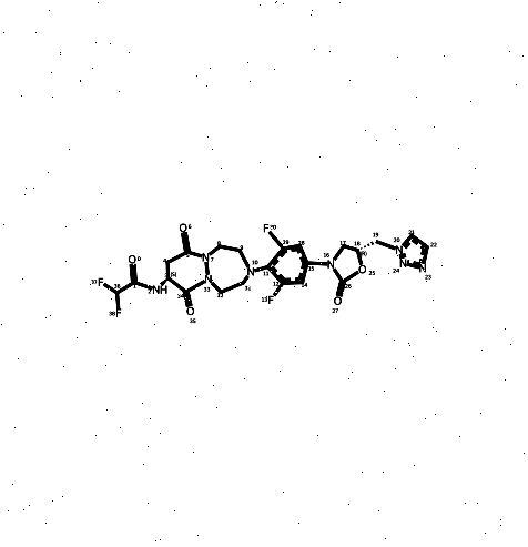 O=C(N[C@H]1CC(=O)N2CCN(c3c(F)cc(N4C[C@H](Cn5ccnn5)OC4=O)cc3F)CCN2C1=O)C(F)F